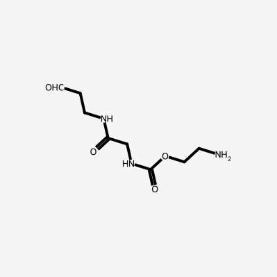 NCCOC(=O)NCC(=O)NCCC=O